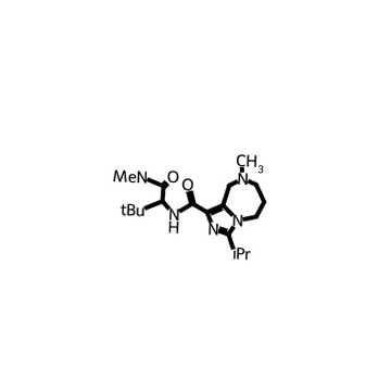 CNC(=O)C(NC(=O)c1nc(C(C)C)n2c1CN(C)CCC2)C(C)(C)C